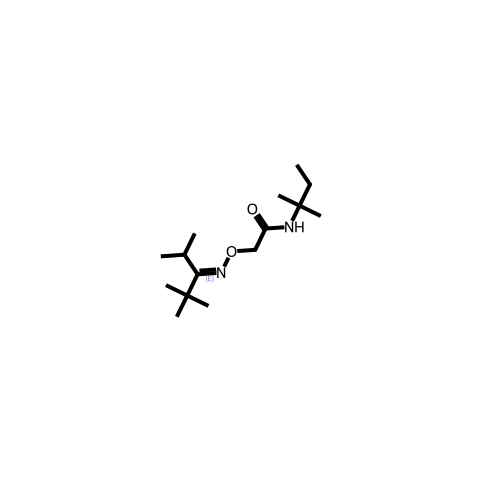 CCC(C)(C)NC(=O)CO/N=C(\C(C)C)C(C)(C)C